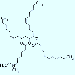 CCCCC/C=C\CCCC(=O)OC(CCC/C=C\CCCCC)C(CCC/C=C\CCCCC)OC(=O)CCCCCN(C)CC